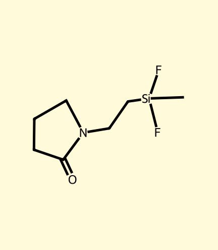 C[Si](F)(F)CCN1CCCC1=O